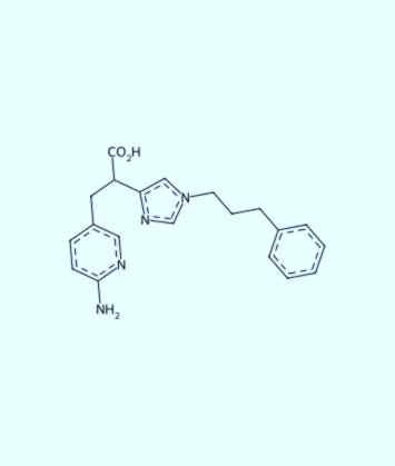 Nc1ccc(CC(C(=O)O)c2cn(CCCc3ccccc3)cn2)cn1